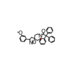 COc1cccc(C2=NOC3(CCN(C(=O)C(c4ccccc4)(c4ccccc4)c4ccccc4)CC3)C2)c1